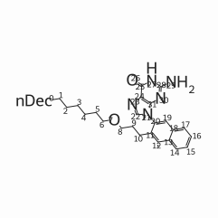 CCCCCCCCCCCCCCCCOCCCc1[c]c2ccccc2cc1-n1cnc2c(=O)[nH]c(N)nc21